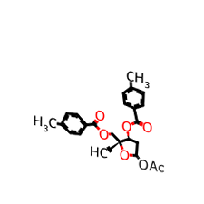 C#C[C@]1(COC(=O)c2ccc(C)cc2)OC(OC(C)=O)C[C@@H]1OC(=O)c1ccc(C)cc1